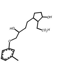 Cc1cccc(OCC(O)CCC2CCC(O)C2CC(=O)O)c1